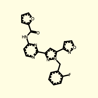 O=C(Nc1ccnc(-c2cc(-c3ccon3)n(Cc3ccccc3F)n2)n1)c1ccco1